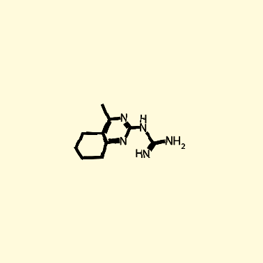 Cc1nc(NC(=N)N)nc2c1CCCC2